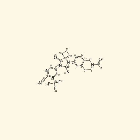 CC(=O)N1CCc2cc(N3C(=S)N(c4cnc(C#N)c(C(F)(F)F)c4)C(=O)C34CCC4)ccc2C1